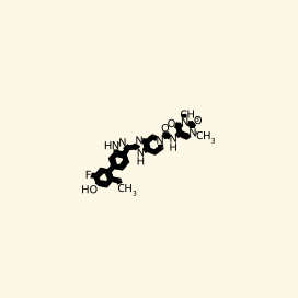 CCc1cc(O)c(F)cc1-c1ccc2c(-c3nc4c([nH]3)CCN(C(=O)Nc3cn(C)c(=O)n(C)c3=O)C4)n[nH]c2c1